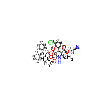 COC(OC)C1=C(C(=O)OCCC(c2ccccc2)c2ccccc2)C(c2cccc(Cl)c2)C(C(=O)OCCC#N)=C(C)N1